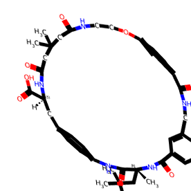 CC(C)(C)C[C@@]1(C)NC(=O)c2cccc(c2)CNC(=O)c2ccc(cc2)OCCNC(=O)CC(C)(C)CC(=O)N[C@H](C(=O)O)Cc2ccc(cc2)NC1=O